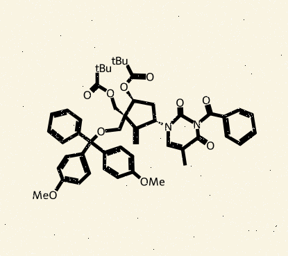 C=C1[C@@H](n2cc(C)c(=O)n(C(=O)c3ccccc3)c2=O)C[C@H](OC(=O)C(C)(C)C)[C@@]1(COC(=O)C(C)(C)C)COC(c1ccccc1)(c1ccc(OC)cc1)c1ccc(OC)cc1